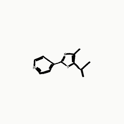 Cc1nc(-c2ccncc2)sc1C(C)C